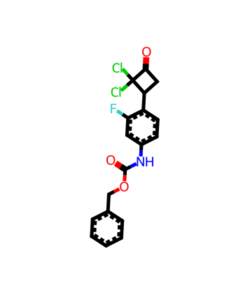 O=C(Nc1ccc(C2CC(=O)C2(Cl)Cl)c(F)c1)OCc1ccccc1